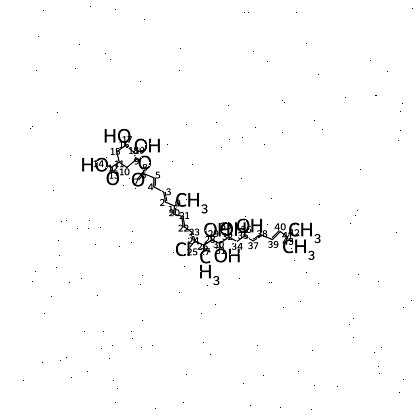 CC(/C=C/C=C/C(=O)OC1CC(C(=O)O)CC(O)C1O)=C\C=C\C=C(/Cl)C(C)C(O)C(O)C(O)CC(O)/C=C/C=C/C(C)C